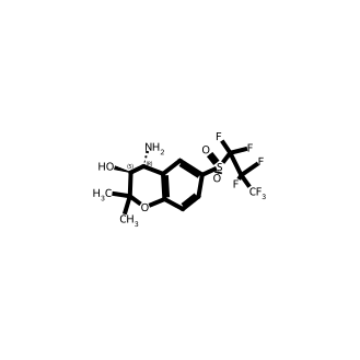 CC1(C)Oc2ccc(S(=O)(=O)C(F)(F)C(F)(F)C(F)(F)F)cc2[C@@H](N)[C@@H]1O